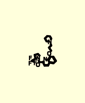 O=C(c1ccc2cccc(OCCCN3CCCCC3)c2n1)N1CCCC1C(F)(F)F